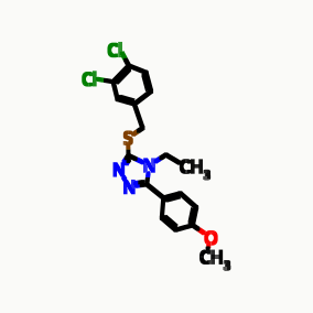 CCn1c(SCc2ccc(Cl)c(Cl)c2)nnc1-c1ccc(OC)cc1